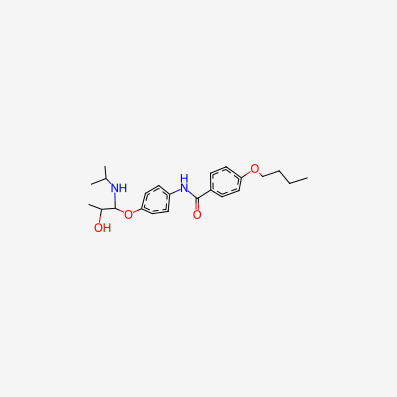 CCCCOc1ccc(C(=O)Nc2ccc(OC(NC(C)C)C(C)O)cc2)cc1